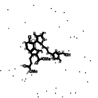 COC(=O)CCc1c(C(=O)OC)n(C)c2c(-c3c(C)c(C)nn3CCCc3cc(CO)n(C)n3)c(Cl)ccc12